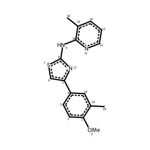 COc1ccc(-c2csc(Nc3ncccc3C)n2)cc1C